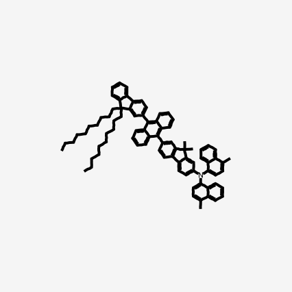 CCCCCCCCCCC1(CCCCCCCCCC)c2ccccc2-c2ccc(-c3c4ccccc4c(-c4ccc5c(c4)C(C)(C)c4cc(N(c6ccc(C)c7ccccc67)c6ccc(C)c7ccccc67)ccc4-5)c4ccccc34)cc21